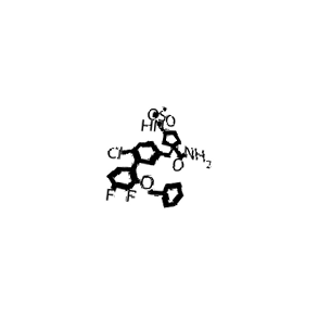 CS(=O)(=O)N[C@H]1CC[C@](Cc2ccc(Cl)c(-c3ccc(F)c(F)c3OCc3ccccc3)c2)(C(N)=O)C1